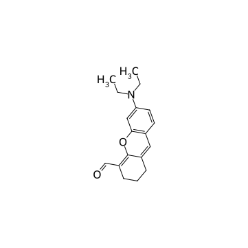 CCN(CC)c1ccc2c(c1)OC1=C(C=O)CCCC1=C2